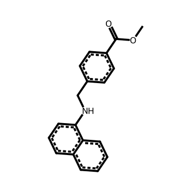 COC(=O)c1ccc(CNc2cccc3ccccc23)cc1